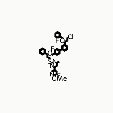 COc1ncc(-c2cc(C)nc(SCCC(OCc3ccc(-c4cccc(C(CCCl)OCc5ccccc5F)c4)cc3F)c3ccccc3)n2)cc1F